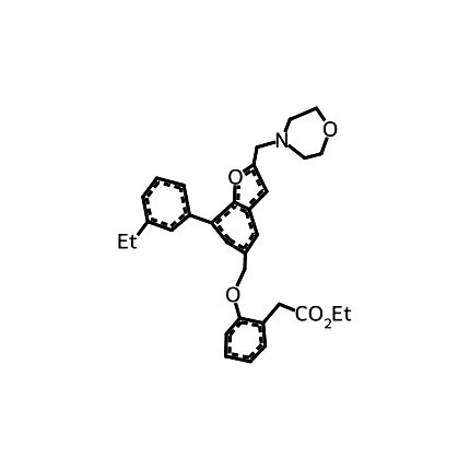 CCOC(=O)Cc1ccccc1OCc1cc(-c2cccc(CC)c2)c2oc(CN3CCOCC3)cc2c1